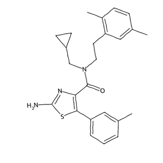 Cc1cccc(-c2sc(N)nc2C(=O)N(CCc2cc(C)ccc2C)CC2CC2)c1